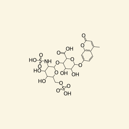 Cc1cc(=O)oc2cc(OC3OC(C(=O)O)C(OC4OC(COS(=O)(=O)O)C(O)C(O)C4NS(=O)(=O)O)C(O)C3O)ccc12